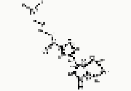 CN(C)CCCCC(=O)c1cc(-c2c[nH]c3ccccc23)cs1